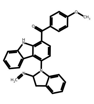 C=NC1Cc2ccccc2N1c1ccc(C(=O)c2ccc(OC)cc2)c2[nH]c3ccccc3c12